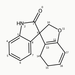 O=C1Nc2ccccc2C12COC1=C2CCC=C1